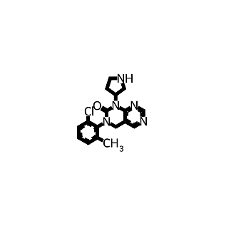 Cc1cccc(Cl)c1N1Cc2cncnc2N(C2CCNC2)C1=O